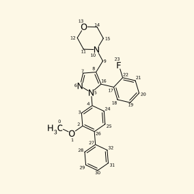 COc1cc(-n2ncc(CN3CCOCC3)c2-c2ccccc2F)ccc1-c1ccccc1